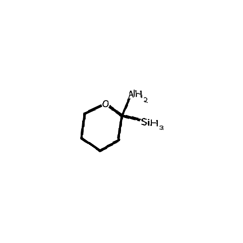 [AlH2][C]1([SiH3])CCCCO1